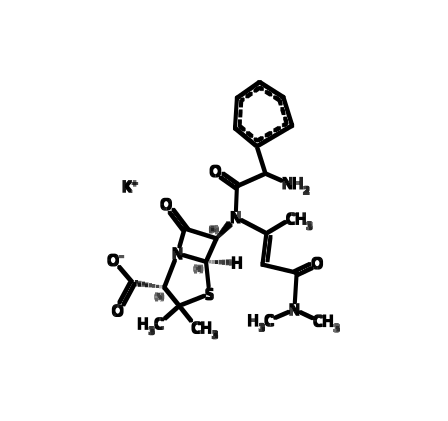 CC(=CC(=O)N(C)C)N(C(=O)C(N)c1ccccc1)[C@@H]1C(=O)N2[C@@H]1SC(C)(C)[C@@H]2C(=O)[O-].[K+]